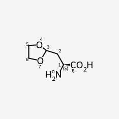 N[C@@H](CC1OCCO1)C(=O)O